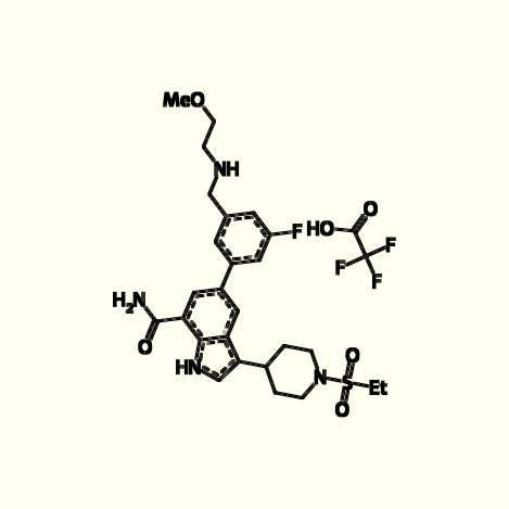 CCS(=O)(=O)N1CCC(c2c[nH]c3c(C(N)=O)cc(-c4cc(F)cc(CNCCOC)c4)cc23)CC1.O=C(O)C(F)(F)F